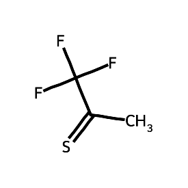 CC(=S)C(F)(F)F